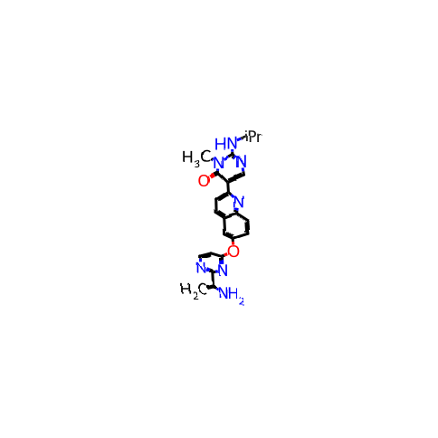 C=C(N)c1nccc(Oc2ccc3nc(-c4cnc(NC(C)C)n(C)c4=O)ccc3c2)n1